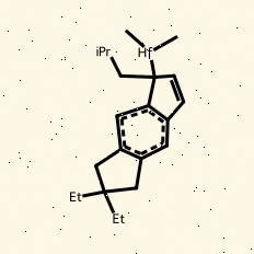 CCC1(CC)Cc2cc3c(cc2C1)[C](CC(C)C)([Hf]([CH3])[CH3])C=C3